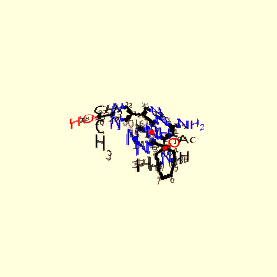 CC(=O)c1c([C@H]2C[C@H]3CC[C@@H](C2)N3C(=O)c2nnc[nH]2)nc2c(-c3cnc(C(C)(C)O)nc3)cnn2c1N